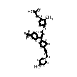 Cc1cc(OCC=C(c2ccc(C#CCN3CCC(O)CC3)cc2)c2ccc(C(F)(F)F)cc2)ccc1OCC(=O)O